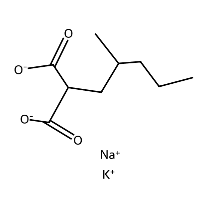 CCCC(C)CC(C(=O)[O-])C(=O)[O-].[K+].[Na+]